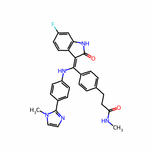 CNC(=O)CCc1ccc(C(Nc2ccc(-c3nccn3C)cc2)=C2C(=O)Nc3cc(F)ccc32)cc1